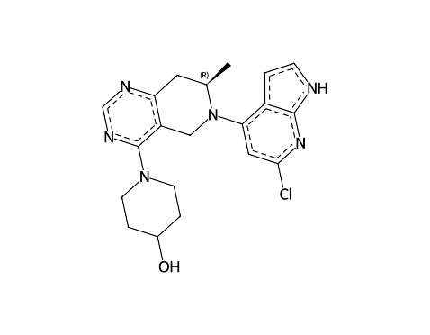 C[C@@H]1Cc2ncnc(N3CCC(O)CC3)c2CN1c1cc(Cl)nc2[nH]ccc12